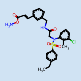 CCc1ccc(S(=O)(=O)N(CC(=O)NCc2cccc(/C=C/C(=O)ON)c2)c2cccc(Cl)c2C)cc1